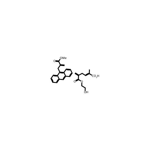 C=C(CC=C(C)C(=O)O)C(=O)OCCO.C=C(Cc1c2ccccc2cc2ccccc12)C(=O)OC